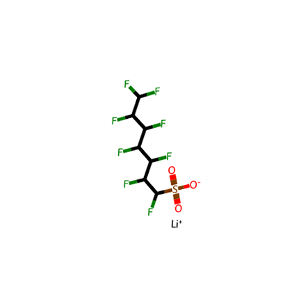 O=S(=O)([O-])C(F)C(F)C(F)C(F)C(F)C(F)C(F)F.[Li+]